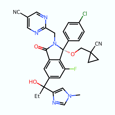 CCC(O)(c1cc(F)c2c(c1)C(=O)N(Cc1ncc(C#N)cn1)[C@@]2(OCC1(C#N)CC1)c1ccc(Cl)cc1)c1cn(C)cn1